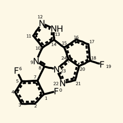 Fc1cccc(F)c1C1=Nc2cn[nH]c2-c2ccc(F)c3cnn1c23